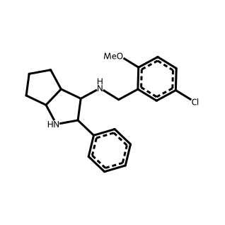 COc1ccc(Cl)cc1CNC1C(c2ccccc2)NC2CCCC21